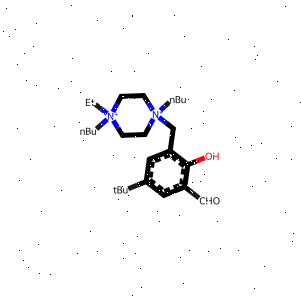 CCCC[N+]1(CC)CC[N+](CCCC)(Cc2cc(C(C)(C)C)cc(C=O)c2O)CC1